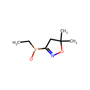 CC[S+]([O-])C1=NOC(C)(C)C1